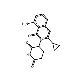 Nc1cccc2nc(C3CC3)n(C3CCC(=O)NC3=O)c(=O)c12